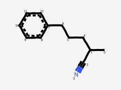 CC(C#N)CCCc1ccccc1